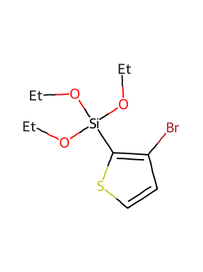 CCO[Si](OCC)(OCC)c1sccc1Br